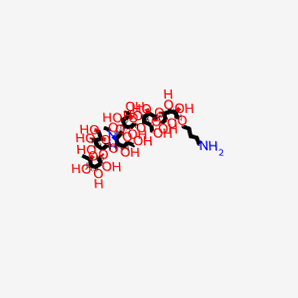 CC(=O)NC1[C@H](O[C@@H]2C(O)[C@@H](O[C@H]3C(CO)O[C@@H](O[C@@H]4C(CO)O[C@@H](OCCCCCN)C(O)[C@H]4O)C(O)[C@H]3O)OC(CO)[C@@H]2O)OC(CO)[C@H](O)[C@@H]1O[C@@H]1OC(CO)[C@H](O)[C@H](O)C1O[C@@H]1OC(C)[C@@H](O)[C@H](O)C1O